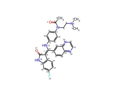 CC(=O)N(CCN(C)C)c1ccc(N/C(=C2\C(=O)Nc3cc(F)ccc32)c2ccc3nccnc3c2)cc1